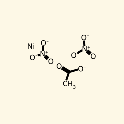 CC(=O)[O-].O=[N+]([O-])[O-].O=[N+]([O-])[O-].[Ni]